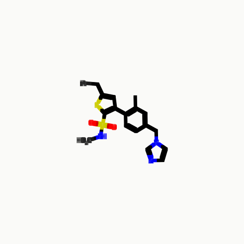 Cc1cc(Cn2ccnc2)ccc1-c1cc(CC(C)C)sc1S(=O)(=O)NC(=O)O